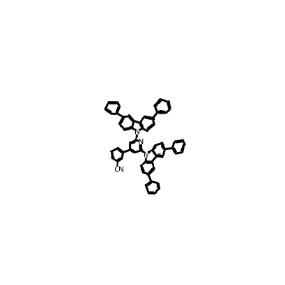 N#Cc1cccc(-c2cc(-n3c4ccc(-c5ccccc5)cc4c4cc(-c5ccccc5)ccc43)nc(-n3c4ccc(-c5ccccc5)cc4c4cc(-c5ccccc5)ccc43)c2)c1